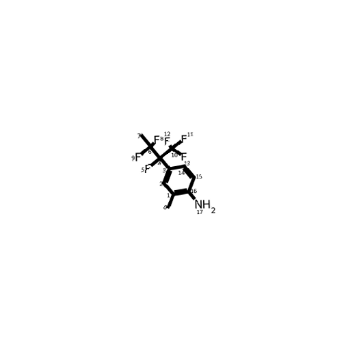 Cc1cc(C(F)(C(C)(F)F)C(F)(F)F)ccc1N